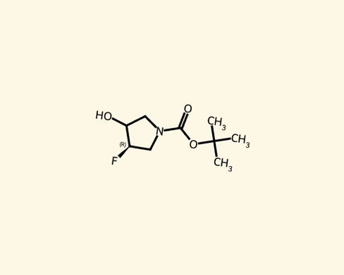 CC(C)(C)OC(=O)N1CC(O)[C@H](F)C1